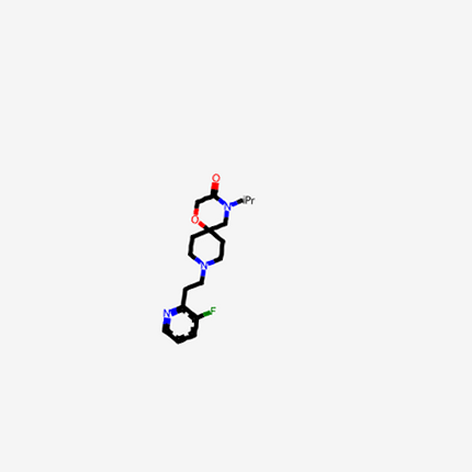 CC(C)N1CC2(CCN(CCc3ncccc3F)CC2)OCC1=O